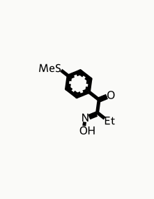 CCC(=NO)C(=O)c1ccc(SC)cc1